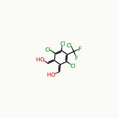 OC=c1c(Cl)c(Cl)c(C(F)(F)Cl)c(Cl)c1=CO